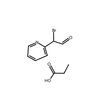 CCC(=O)O.O=CC(Br)c1ccccn1